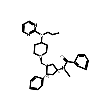 CCCN(c1ncccn1)C1CCN(C[C@H]2C[C@@H](N(C)C(=O)c3ccccc3)C[C@@H]2c2ccccc2)CC1